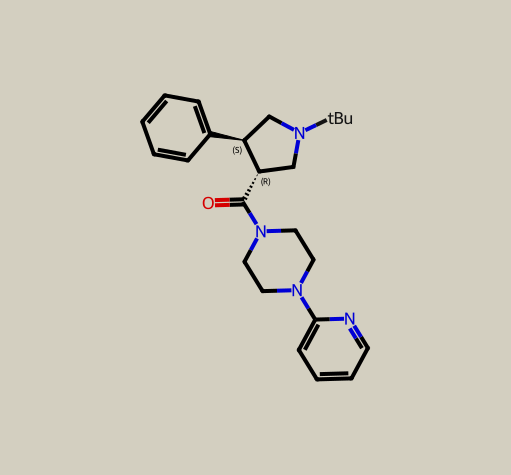 CC(C)(C)N1C[C@H](C(=O)N2CCN(c3ccccn3)CC2)[C@@H](c2ccccc2)C1